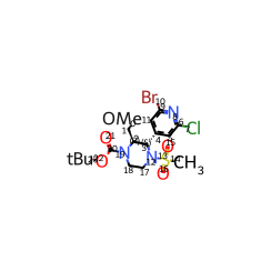 COC[C@H]1[C@H](c2cc(Cl)nc(Br)c2)N(S(C)(=O)=O)CCN1C(=O)OC(C)(C)C